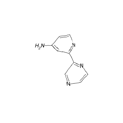 Nc1ccnc(-c2cnccn2)c1